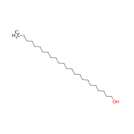 CCCCCCCCCCCCCCCCCCCCCCCCO.[C]